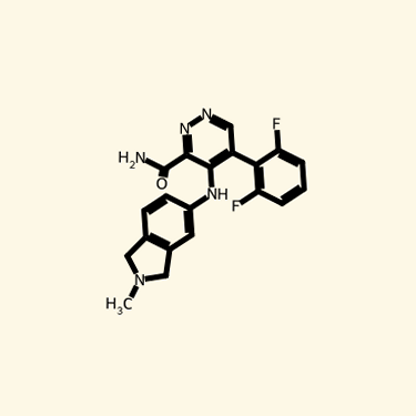 CN1Cc2ccc(Nc3c(-c4c(F)cccc4F)cnnc3C(N)=O)cc2C1